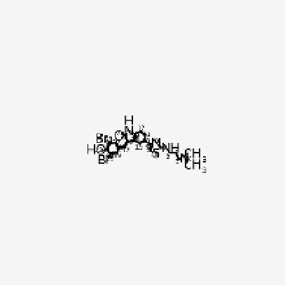 CN(C)CCCNc1nc(-c2ccc3c(c2)C(=Cc2cc(Br)c(O)c(Br)c2)C(=O)N3)cs1